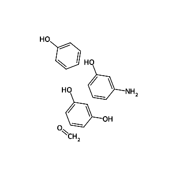 C=O.Nc1cccc(O)c1.Oc1cccc(O)c1.Oc1ccccc1